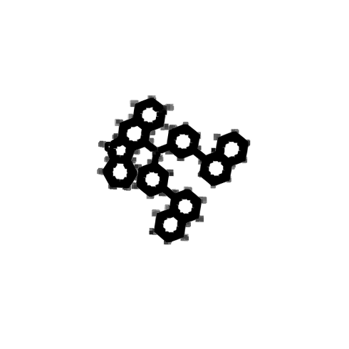 c1cc(-c2cccc3ccccc23)cc(N(c2cccc(-c3cccc4ccccc34)c2)c2c3cnccc3cc3oc4ccccc4c23)c1